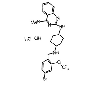 CNc1nc(NC2CCC(NCc3ccc(Br)cc3OC(F)(F)F)CC2)nc2ccccc12.Cl.Cl